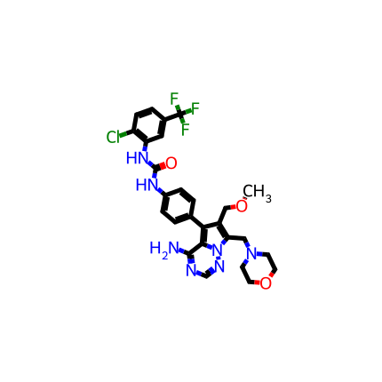 COCc1c(-c2ccc(NC(=O)Nc3cc(C(F)(F)F)ccc3Cl)cc2)c2c(N)ncnn2c1CN1CCOCC1